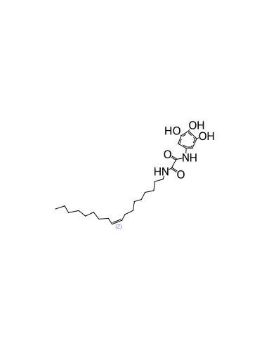 CCCCCCCC/C=C\CCCCCCCCNC(=O)C(=O)Nc1cc(O)c(O)c(O)c1